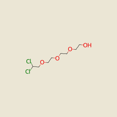 OCCOCCOCCOCC(Cl)Cl